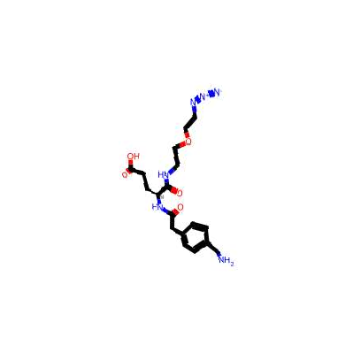 [N-]=[N+]=NCCOCCNC(=O)[C@H](CCC(=O)O)NC(=O)Cc1ccc(CN)cc1